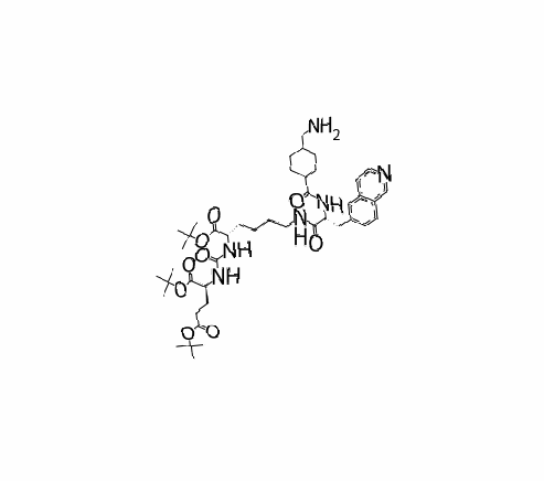 CC(C)(C)OC(=O)CC[C@H](NC(=O)N[C@@H](CCCCNC(=O)[C@@H](Cc1ccc2cnccc2c1)NC(=O)C1CCC(CN)CC1)C(=O)OC(C)(C)C)C(=O)OC(C)(C)C